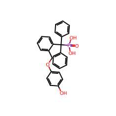 O=P(O)(O)C(c1ccccc1)(c1ccccc1)c1ccccc1COc1ccc(O)cc1